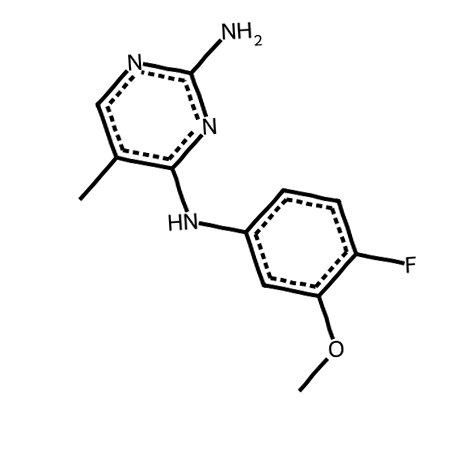 COc1cc(Nc2nc(N)ncc2C)ccc1F